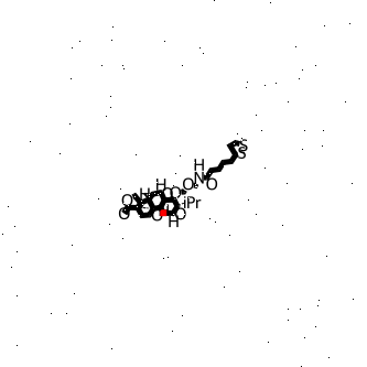 CC(C)[C@]12O[C@H]1[C@@H]1O[C@@]13[C@@]1(C)CCC4=C(COC4=O)[C@@H]1C[C@@H]1O[C@@]13C2OCOCNC(=O)CCCCC1CCSS1